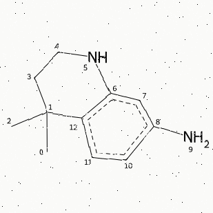 CC1(C)CCNc2cc(N)ccc21